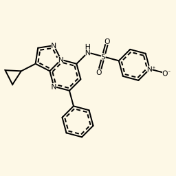 O=S(=O)(Nc1cc(-c2ccccc2)nc2c(C3CC3)cnn12)c1cc[n+]([O-])cc1